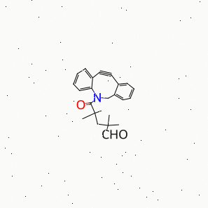 CC(C)(C=O)CC(C)(C)C(=O)N1Cc2ccccc2C#Cc2ccccc21